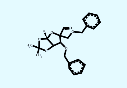 CC1(C)OC2C(OCc3ccccc3)C(C=O)(COCc3ccccc3)O[C@H]2O1